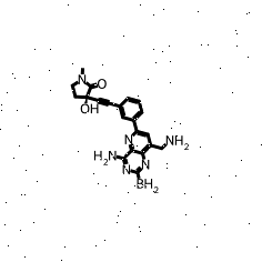 Bc1nc(N)c2nc(-c3cccc(C#C[C@]4(O)CCN(C)C4=O)c3)cc(CN)c2n1